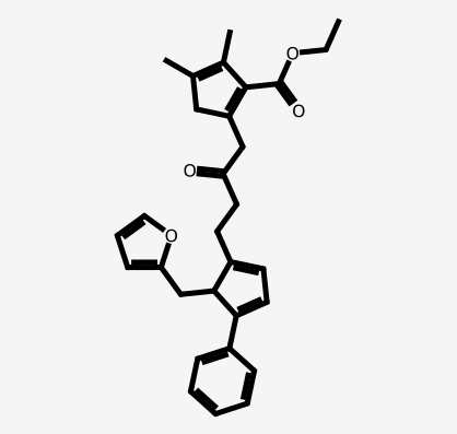 CCOC(=O)C1=C(CC(=O)CCC2=CC=C(c3ccccc3)C2Cc2ccco2)CC(C)=C1C